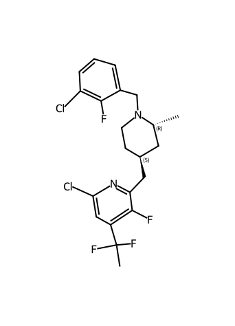 C[C@@H]1C[C@@H](Cc2nc(Cl)cc(C(C)(F)F)c2F)CCN1Cc1cccc(Cl)c1F